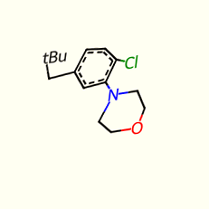 CC(C)(C)Cc1ccc(Cl)c(N2CCOCC2)c1